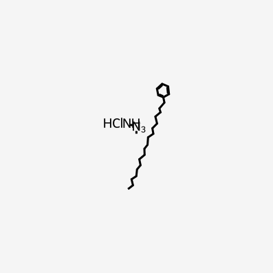 CCCCCCCCCCCCCCCCCCc1ccccc1.CN(C)C.Cl.N